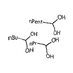 CCCC(O)O.CCCCC(O)O.CCCCCC(O)O